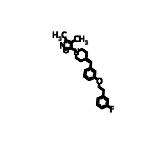 Cc1noc(N2CCC(=Cc3cccc(OCCc4cccc(F)c4)c3)CC2)c1C